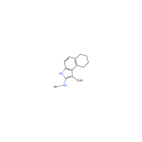 CCCNc1[nH]c2ccc3c(c2c1C=O)CCCC3